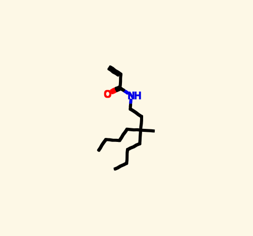 C=CC(=O)NCCC(C)(CCCC)CCCC